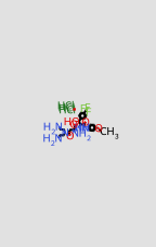 CCOc1ccc(NC(=O)[C@@H](NC(=O)[C@@H](N)CC(=O)N(CCN)CCN)[C@@H](O)c2ccc(C(F)(F)F)cc2)cc1.Cl.Cl.Cl